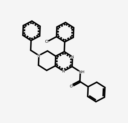 O=C(Nc1nc2c(c(-c3ccccc3Cl)n1)CN(Cc1ccccc1)CC2)C1C=CC=CC1